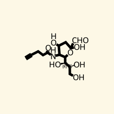 C#CCCC(=O)NC1C(O)CC(O)(C=O)OC1[C@H](O)[C@H](O)CO